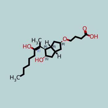 CCCCCC/C(O)=C(/C)[C@H]1[C@@H]2C[C@H](OCCCC(=O)O)C[C@@H]2C[C@@H]1O